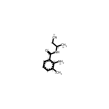 Cc1cccc(C(=O)NC(C)CC#N)c1N